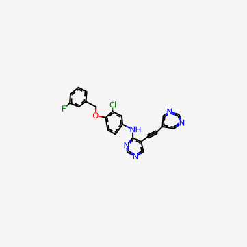 Fc1cccc(COc2ccc(Nc3ncncc3C#Cc3cncnc3)cc2Cl)c1